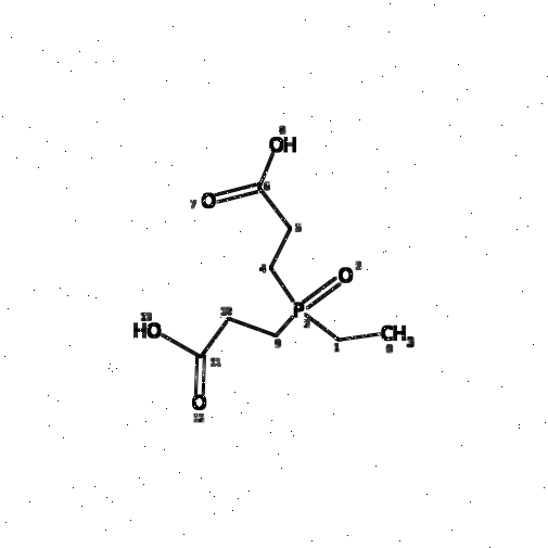 CCP(=O)(CCC(=O)O)CCC(=O)O